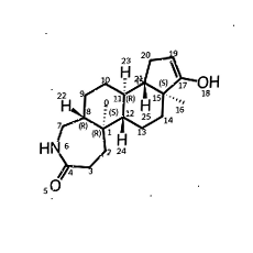 C[C@]12CCC(=O)NC[C@@H]1CC[C@@H]1[C@@H]2CC[C@]2(C)C(O)=CC[C@@H]12